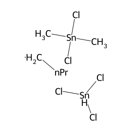 [CH2]CCC.[CH3][Sn]([CH3])([Cl])[Cl].[Cl][SnH]([Cl])[Cl]